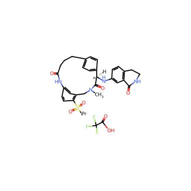 CC(C)S(=O)(=O)c1ccc2cc1CN(C)C(=O)[C@H](Nc1ccc3c(c1)C(=O)NCC3)c1ccc(cc1)CCCC(=O)N2.O=C(O)C(F)(F)F